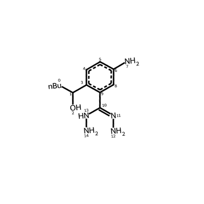 CCCCC(O)c1ccc(N)cc1/C(=N/N)NN